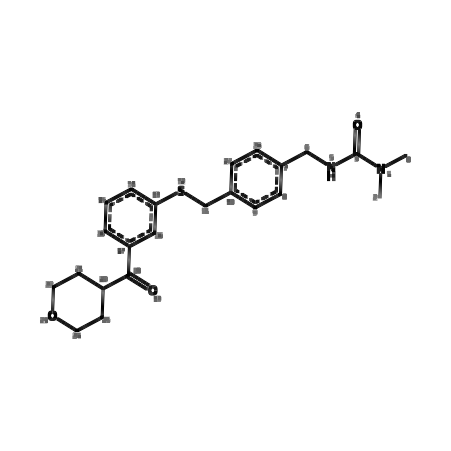 CN(C)C(=O)NCc1ccc(CSc2cccc(C(=O)C3CCOCC3)c2)cc1